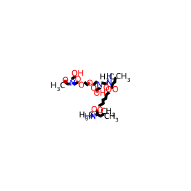 CNC(CC(C)C)C(=O)OCCCCCCOC(=O)C(CC(C)C)NC(=O)CN(CCOCCOCCN(CC(C)=O)CC(=O)O)CC(=O)O